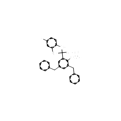 CCCCCC(CC)(Pc1ccc(F)cc1F)c1cc(Cc2ccccc2)cc(Cc2ccccc2)c1OC